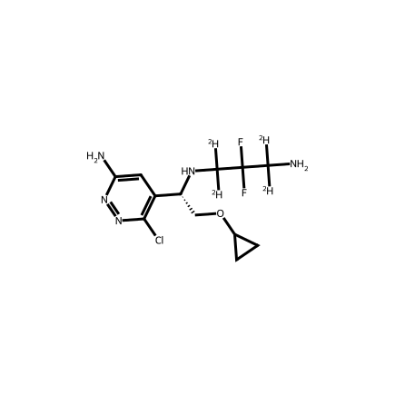 [2H]C([2H])(N)C(F)(F)C([2H])([2H])N[C@H](COC1CC1)c1cc(N)nnc1Cl